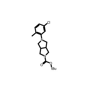 Cc1ccc(Cl)cc1N1CC2CN(C(=O)OC(C)(C)C)CC2C1